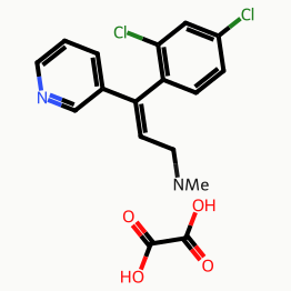 CNCC=C(c1cccnc1)c1ccc(Cl)cc1Cl.O=C(O)C(=O)O